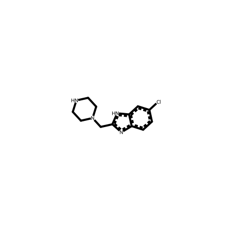 Clc1ccc2nc(CN3CCNCC3)[nH]c2c1